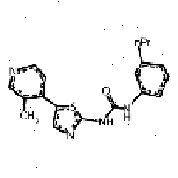 CCCc1cccc(NC(=O)Nc2ncc(-c3ccncc3C)s2)c1